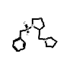 O=S(=O)(Cc1ccccc1)N1CCCC1CN1CCCC1